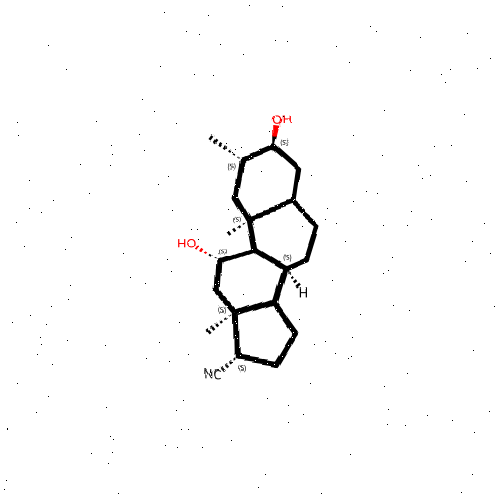 C[C@H]1C[C@@]2(C)C(CC[C@@H]3C2[C@@H](O)C[C@@]2(C)C3CC[C@@H]2C#N)C[C@@H]1O